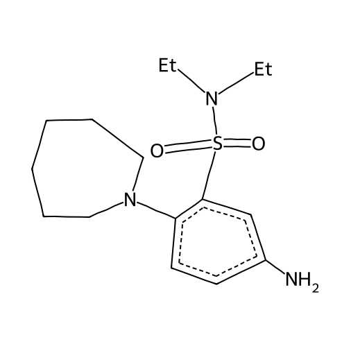 CCN(CC)S(=O)(=O)c1cc(N)ccc1N1CCCCCC1